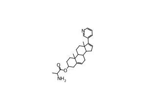 CC(N)C(=O)OC1CCC2(C)C(=CCC3C2CCC2(C)C(c4cccnc4)=CCC32)C1